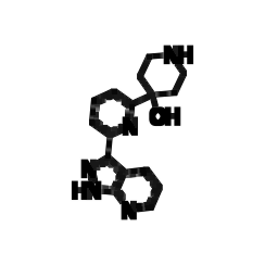 OC1(c2cccc(-c3n[nH]c4ncccc34)n2)CCNCC1